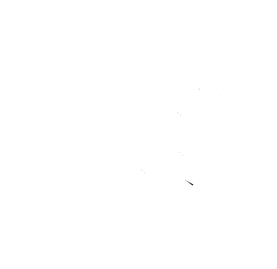 CCCC[C@H](NC(=O)[C@H](CCCC)NC(=O)[C@H](CS)NC(C)=O)C(=O)N[C@@H](CCCCN)C(=O)O